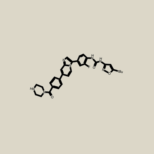 CC(C)(C)c1cc(NC(=O)Nc2ccc(-c3cnc4cc(-c5ccc(C(=O)N6CCNCC6)cc5)ccn34)cc2F)no1